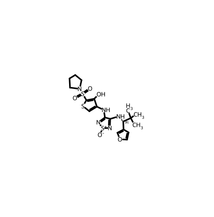 CC(C)(C)[C@@H](Nc1n[s+]([O-])nc1Nc1csc(S(=O)(=O)N2CCCC2)c1O)c1ccoc1